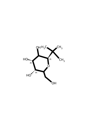 CC(C)(C)[C@H]1OC(CO)[C@H](O)[C@H](O)C1O